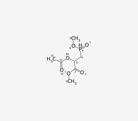 COC(=O)C(C[PH](=O)OC)OC(C)=O